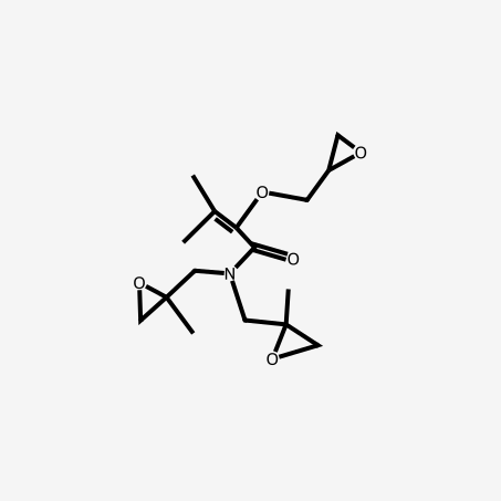 CC(C)=C(OCC1CO1)C(=O)N(CC1(C)CO1)CC1(C)CO1